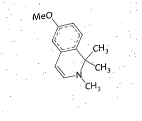 COc1ccc2c(c1)C=CN(C)C2(C)C